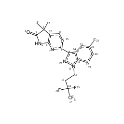 CC1(C)C(=O)Nc2nc(-c3nn(CCC(F)(F)C(F)(F)F)c4ncc(F)cc34)ncc21